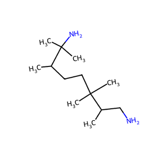 CC(CCC(C)(C)C(C)CN)C(C)(C)N